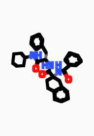 O=C(N[C@@]1(C(=O)N[C@@H](Cc2ccccc2)C(=O)NC2CCCCC2)CCc2ccccc2C1)c1ccccc1